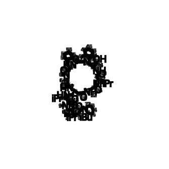 CC[C@H](C)C(NC(=O)[C@H](CC(C)C)N(C)C(=O)[C@@H](NC(=O)[C@@H]1CC(=O)N[C@@H](C)C(=O)N[C@@H](CC(C)C)C(=O)N[C@@H]([C@@H](C)O)C(=O)N(C)[C@@H](Cc2ccccc2)C(=O)N[C@@H](Cc2ccccc2)C(=O)N(C)[C@@H](C)C(=O)N1)C(C)C)C(O)N1CCCCC1